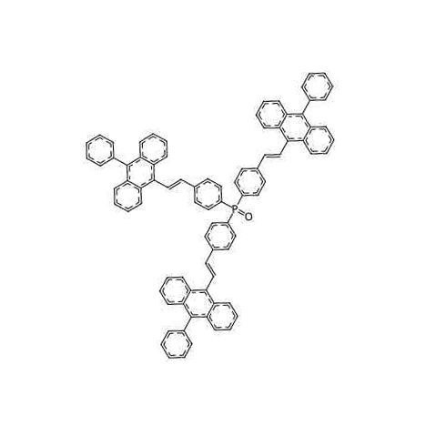 O=P(c1ccc(/C=C/c2c3ccccc3c(-c3ccccc3)c3ccccc23)cc1)(c1ccc(/C=C/c2c3ccccc3c(-c3ccccc3)c3ccccc23)cc1)c1ccc(/C=C/c2c3ccccc3c(-c3ccccc3)c3ccccc23)cc1